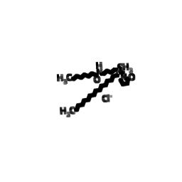 CCCCCCCCCCCCCCCC[N+](C)(CCCCNC(=O)CCCCCCC)CN1CCCC1=O.[Cl-]